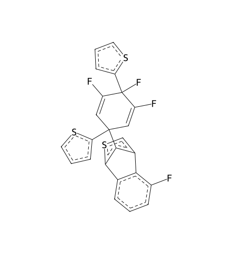 FC1=CC(c2cccs2)(c2c3csc2-c2cccc(F)c2-3)C=C(F)C1(F)c1cccs1